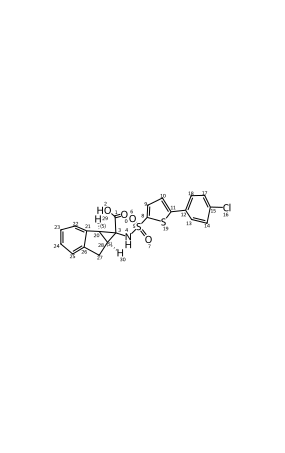 O=C(O)C1(NS(=O)(=O)c2ccc(-c3ccc(Cl)cc3)s2)[C@@H]2c3ccccc3C[C@@H]21